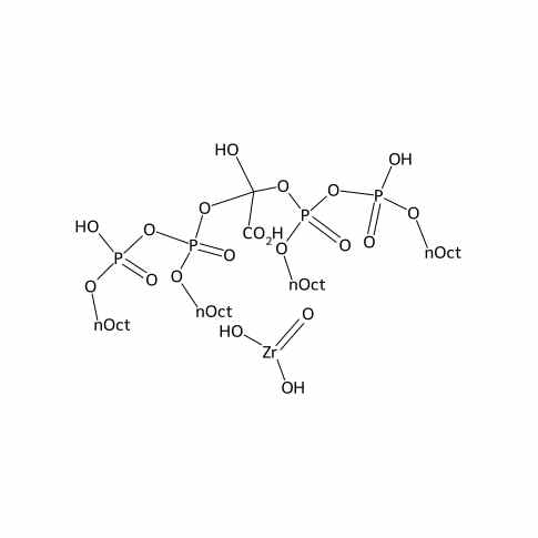 CCCCCCCCOP(=O)(O)OP(=O)(OCCCCCCCC)OC(O)(OP(=O)(OCCCCCCCC)OP(=O)(O)OCCCCCCCC)C(=O)O.[O]=[Zr]([OH])[OH]